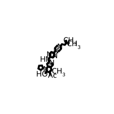 CC(=O)C1=C(C)c2cnc(Nc3cnc(N4CCN(CCN(C)C)CC4)cn3)cc2N(C2CCCC2)C1O